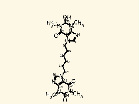 CN1C(=O)c2c(ncn2CCCCCCn2cnc3c2c(=O)n(C)c(=O)n3C)N(C)C1O